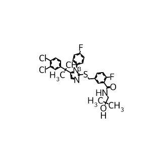 CC(C)(O)CNC(=O)c1cc(CSc2ncc(C(C)(C)c3ccc(Cl)c(Cl)c3)n2-c2ccc(F)cc2)ccc1F